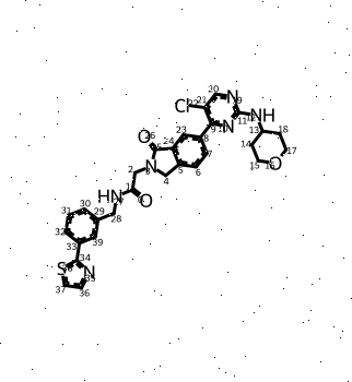 O=C(CN1Cc2ccc(-c3nc(NC4CCOCC4)ncc3Cl)cc2C1=O)NCc1cccc(-c2nccs2)c1